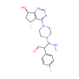 CNC(C(C=O)c1ccc(F)cc1)N1CCN(c2ncnc3c2[C@H](C)C[C@H]3O)CC1